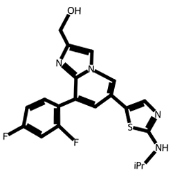 CC(C)Nc1ncc(-c2cc(-c3ccc(F)cc3F)c3nc(CO)cn3c2)s1